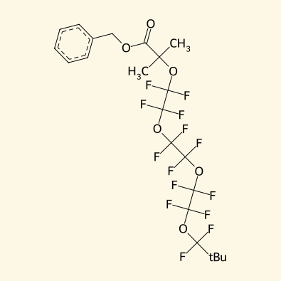 CC(C)(OC(F)(F)C(F)(F)OC(F)(F)C(F)(F)OC(F)(F)C(F)(F)OC(F)(F)C(C)(C)C)C(=O)OCc1ccccc1